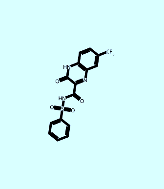 O=C(NS(=O)(=O)c1ccccc1)c1nc2cc(C(F)(F)F)ccc2[nH]c1=O